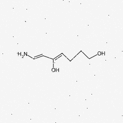 NC=CC(O)=CCCCO